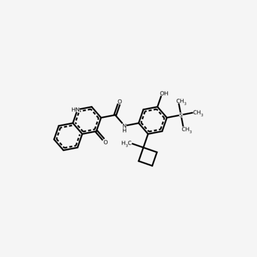 CC1(c2cc(S(C)(C)C)c(O)cc2NC(=O)c2c[nH]c3ccccc3c2=O)CCC1